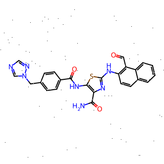 NC(=O)c1nc(Nc2ccc3ccccc3c2C=O)sc1NC(=O)c1ccc(Cn2cncn2)cc1